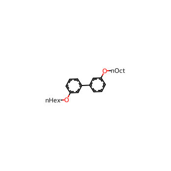 CCCCCCCCOc1cccc(-c2cccc(OCCCCCC)c2)c1